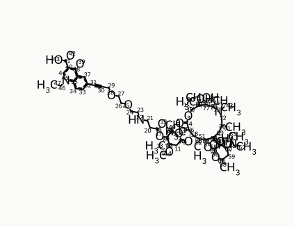 CC[C@H]1OC(=O)[C@H](C)[C@@H](O[C@H]2C[C@@](C)(OC)[C@@H](OC(=O)CCNCCOCCOCC#Cc3ccc4c(c3)c(=O)c(C(=O)O)cn4CC)[C@H](C)O2)[C@H](C)[C@@H](O[C@@H]2O[C@H](C)C[C@H](N(C)C)[C@H]2O)[C@](C)(O)C[C@@H](C)CN(C)[C@H](C)[C@@H](O)[C@]1(C)O